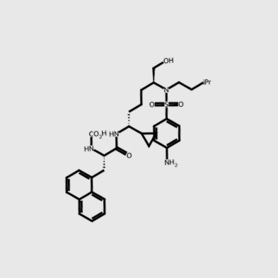 CC(C)CCN([C@H](CO)CCC[C@@H](NC(=O)[C@H](Cc1cccc2ccccc12)NC(=O)O)C1CC1)S(=O)(=O)c1ccc(N)cc1